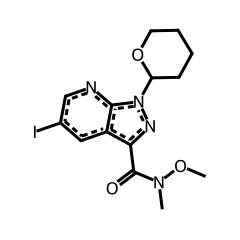 CON(C)C(=O)c1nn(C2CCCCO2)c2ncc(I)cc12